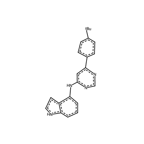 CC(C)(C)c1ccc(-c2cc(Nc3cccc4[nH]ccc34)ncn2)cc1